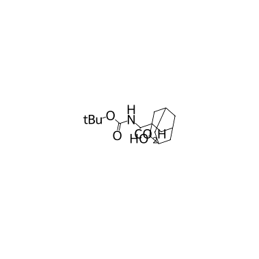 CC(C)(C)OC(=O)N[C@H](C(=O)O)C12CC3CC(CC(C3)C1O)C2